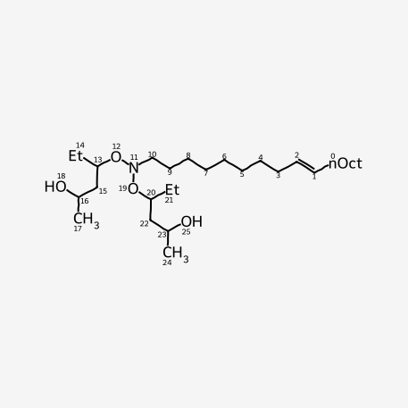 CCCCCCCCC=CCCCCCCCCN(OC(CC)CC(C)O)OC(CC)CC(C)O